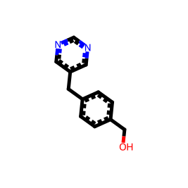 OCc1ccc(Cc2cncnc2)cc1